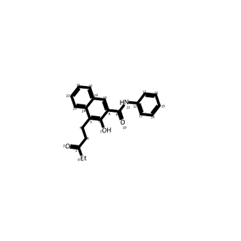 CCC(=O)CCc1c(O)c(C(=O)Nc2ccccc2)cc2ccccc12